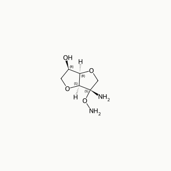 NO[C@@]1(N)CO[C@@H]2[C@H](O)CO[C@@H]21